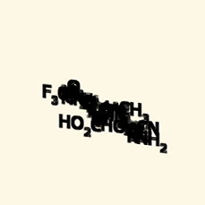 CC(Cc1ccc2c(c1)cc(C(=O)O)n2Cc1cccc(NCS(=O)(=O)CC(F)(F)F)c1)NCC(O)c1cnc(N)c(C#N)c1